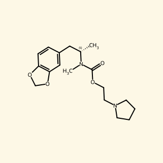 C[C@@H](Cc1ccc2c(c1)OCO2)N(C)C(=O)OCCN1CCCC1